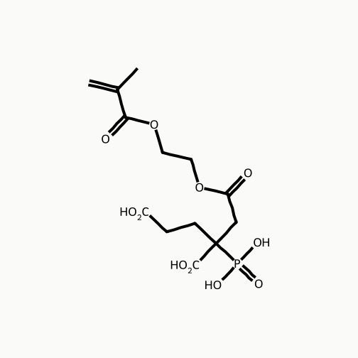 C=C(C)C(=O)OCCOC(=O)CC(CCC(=O)O)(C(=O)O)P(=O)(O)O